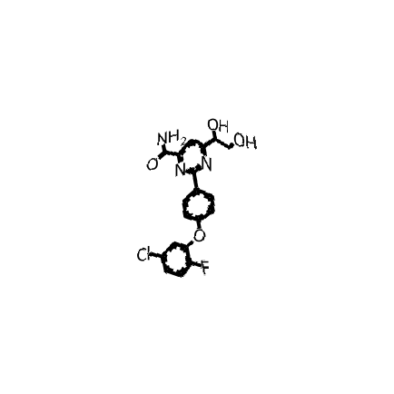 NC(=O)c1cc(C(O)CO)nc(-c2ccc(Oc3cc(Cl)ccc3F)cc2)n1